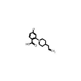 C=CCC1CCN(c2cc(Cl)ccc2C(=O)O)CC1